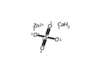 O=S(=O)([O-])[O-].[CaH2].[Zn+2]